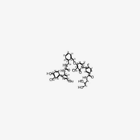 Cc1ccc(C(=O)NCC(O)CO)cc1-n1c(C)cc(OCc2ccccc2CNC(=O)Nc2cc(C(C)(C)C)nn2-c2ccc(O)c(Cl)c2)c(Cl)c1=O